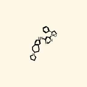 c1ccc([C@H]2CCON2c2cc(Nc3ccc4c(c3)CC[C@H](N3CCCC3)CC4)ncn2)cc1